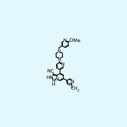 COc1ccc(CN2CCN(c3ccc(C4=CC(c5cnn(C)c5)=CN5NNC(C#N)=C45)cn3)CC2)cn1